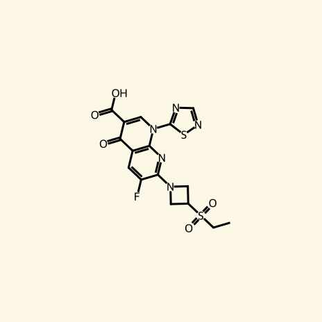 CCS(=O)(=O)C1CN(c2nc3c(cc2F)c(=O)c(C(=O)O)cn3-c2ncns2)C1